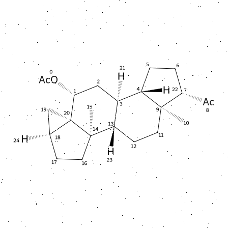 CC(=O)O[C@@H]1C[C@H]2[C@@H]3CC[C@H](C(C)=O)[C@@]3(C)CC[C@@H]2[C@@]2(C)CC[C@H]3C[C@]312